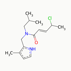 Cc1cc[nH]c1CN(CC(C)C)C(=O)/C=C/C(C)Cl